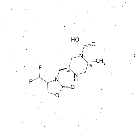 C[C@@H]1CN[C@@H](CN2C(=O)OCC2C(F)F)CN1C(=O)O